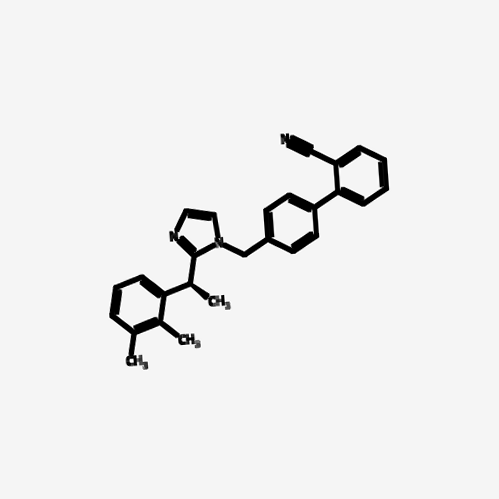 Cc1cccc([C@H](C)c2nccn2Cc2ccc(-c3ccccc3C#N)cc2)c1C